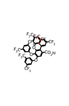 O=C(O)c1cc(Oc2cc(C(F)(F)F)cc(C(F)(F)F)c2)c(Oc2cc(C(F)(F)F)cc(C(F)(F)F)c2)c(Oc2cc(C(F)(F)F)cc(C(F)(F)F)c2)c1-c1cc(C(F)(F)F)cc(C(F)(F)F)c1